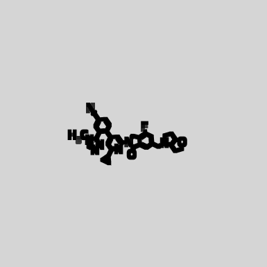 Cn1cnnc1-c1cc(C#N)ccc1-c1cc(C2CC2)nc(N2Cc3c(F)cc(CN4CCC5OCCC54)cc3C2=O)c1